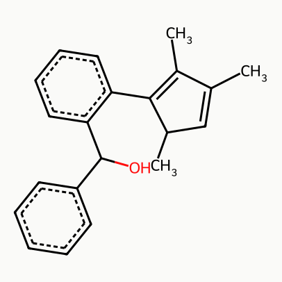 CC1=CC(C)C(c2ccccc2C(O)c2ccccc2)=C1C